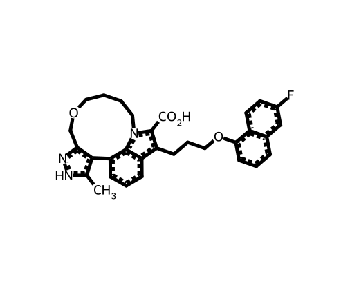 Cc1[nH]nc2c1-c1cccc3c(CCCOc4cccc5cc(F)ccc45)c(C(=O)O)n(c13)CCCCOC2